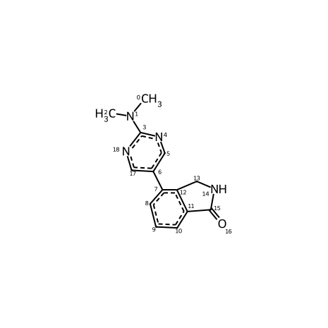 CN(C)c1ncc(-c2cccc3c2CNC3=O)cn1